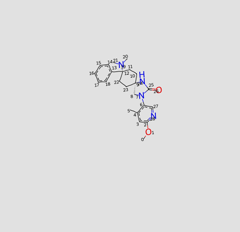 COc1cc(C)c(N2C[C@]3(CC[C@@](c4ccccc4)(N(C)C)CC3)NC2=O)cn1